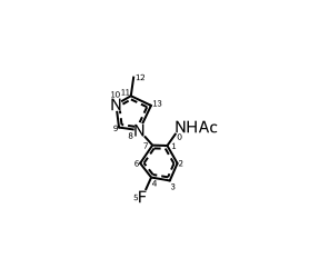 CC(=O)Nc1ccc(F)cc1-n1cnc(C)c1